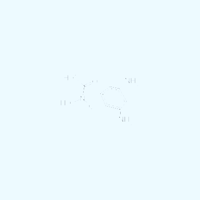 CC(=O)N(C)C.Nc1cccc(N)c1